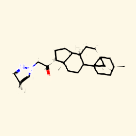 C[C@H]1CCC23C4CC[C@@]5(C)C(CC[C@@H]5C(=O)Cn5cc(C#N)cn5)[C@@H]4CC[C@@]2(C1)[C@H]3C